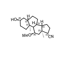 CO[C@@H]1C[C@]2(C)[C@@H](C#N)CC[C@H]2[C@@H]2CC[C@H]3C[C@H](O)CC[C@]3(C)C21